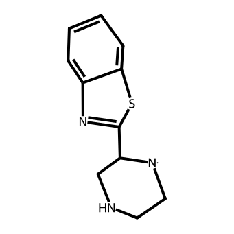 c1ccc2sc(C3CNCC[N]3)nc2c1